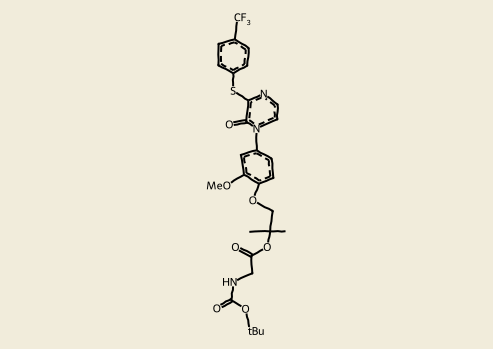 COc1cc(-n2ccnc(Sc3ccc(C(F)(F)F)cc3)c2=O)ccc1OCC(C)(C)OC(=O)CNC(=O)OC(C)(C)C